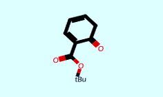 CC(C)(C)OC(=O)C1=CC=CCC1=O